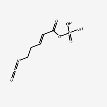 O=C=NCCC=CC(=O)OP(=O)(O)O